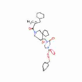 C[C@H](CC1CCCCC1)C(=O)N1CCC(O)(CN2CCN(C(=O)OCc3ccccc3)CC2=O)C2(CCCC2)C1